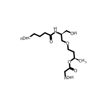 CCCCCCCCCCCCCC(=O)N[C@@H](CO)COCC[C@@H](C)OC(=O)CCCCCCCCCCC